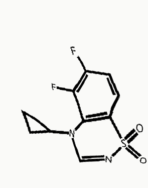 O=S1(=O)N=CN(C2CC2)c2c1ccc(F)c2F